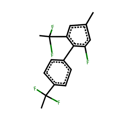 Cc1cc(F)c(-c2ccc(C(C)(F)F)cc2)c(C(C)(F)F)c1